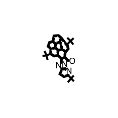 CC(C)(C)c1ccc2nc3c4c5cc(C(C)(C)C)c6ccc7ccc8c(C(C)(C)C)cc(c4c(=O)n3c2n1)c1c8c7c6c51